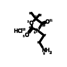 CC1(C)OC(=O)N(CCN)C1=O.Cl